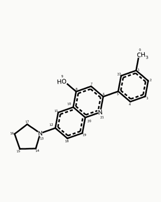 Cc1cccc(-c2cc(O)c3cc(N4CCCC4)ccc3n2)c1